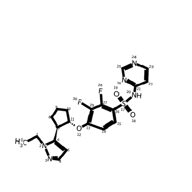 CCn1nccc1[C@H]1CCC[C@@H]1Oc1ccc(S(=O)(=O)Nc2ccncn2)c(F)c1F